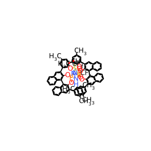 Cc1cc(C)cc(-c2cc3ccccc3c3c2OP(=NS(=O)(=O)C(F)(F)F)(NP2(=NS(=O)(=O)C(F)(F)F)Oc4c(-c5cc(C)cc(C)c5)cc5ccccc5c4-c4c(c(-c5cc(C)cc(C)c5)cc5ccccc45)O2)Oc2c(-c4cc(C)cc(C)c4)cc4ccccc4c2-3)c1